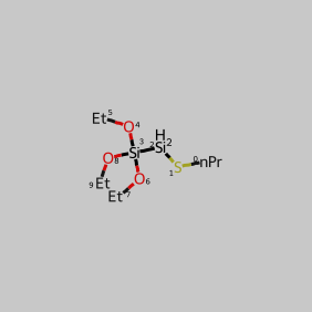 CCCS[SiH2][Si](OCC)(OCC)OCC